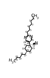 CCCCCCCc1ncc([C@]2(C#N)CC[C@H](CCCCC)CC2)cn1